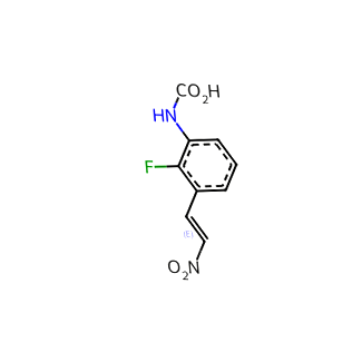 O=C(O)Nc1cccc(/C=C/[N+](=O)[O-])c1F